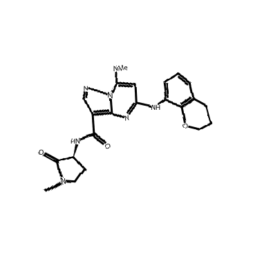 CNc1cc(Nc2cccc3c2OCCC3)nc2c(C(=O)N[C@H]3CCN(C)C3=O)cnn12